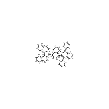 c1ccc(-c2c3c(c(-c4ccccc4)c4ccccc24)-c2ccc(-n4c5ccc6ccccc6c5c5c6ccccc6ccc54)c4cccc-3c24)cc1